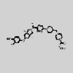 CC(C)(C)OC(=O)N1CCN(CC2CCN(c3ccc(C(=O)N4C[C@H]5C[C@@H](Oc6ccc(C#N)c(Cl)c6)C[C@H]5C4)nn3)CC2)CC1